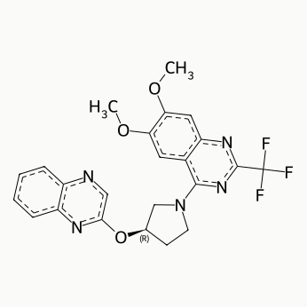 COc1cc2nc(C(F)(F)F)nc(N3CC[C@@H](Oc4cnc5ccccc5n4)C3)c2cc1OC